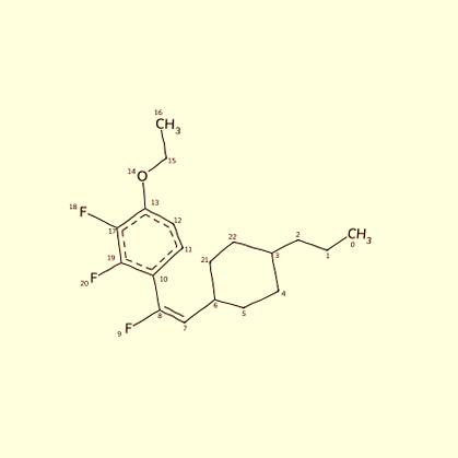 CCCC1CCC(/C=C(/F)c2ccc(OCC)c(F)c2F)CC1